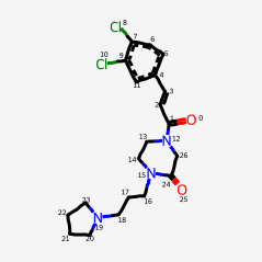 O=C(C=Cc1ccc(Cl)c(Cl)c1)N1CCN(CCCN2CCCC2)C(=O)C1